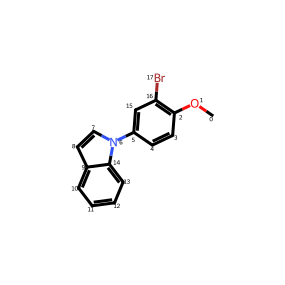 COc1ccc(-n2ccc3ccccc32)cc1Br